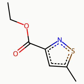 CCOC(=O)c1cc(C)sn1